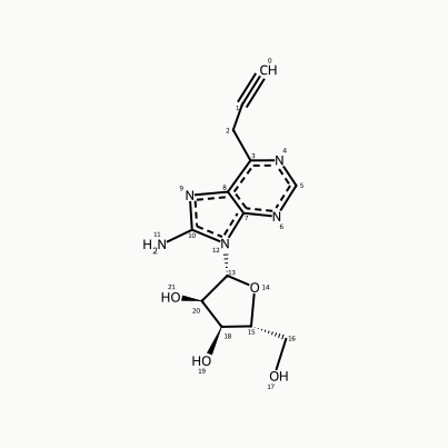 C#CCc1ncnc2c1nc(N)n2[C@@H]1O[C@H](CO)[C@@H](O)[C@H]1O